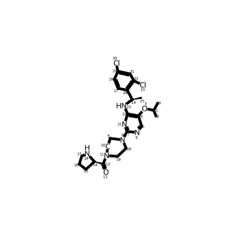 CC(C)Oc1cnc(N2CCN(C(=O)[C@H]3CCCN3)CC2)nc1N[C@H](C)c1ccc(Cl)cc1Cl